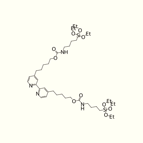 CCO[Si](CCCCNC(=O)OCCCCCc1ccnc(-c2cc(CCCCCOC(=O)NCCCC[Si](OCC)(OCC)OCC)ccn2)c1)(OCC)OCC